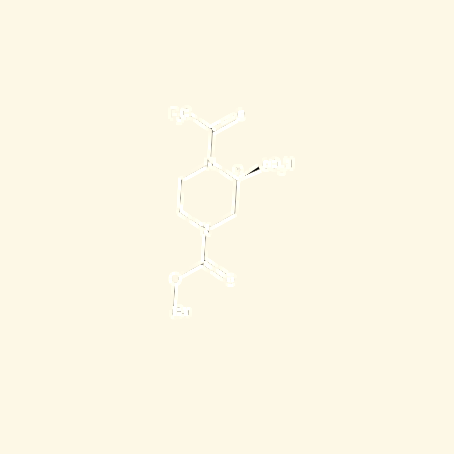 CC(C)(C)OC(=O)N1CCN(C(=O)C(F)(F)F)[C@@H](C(=O)O)C1